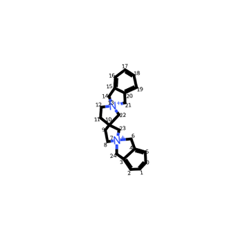 c1ccc2c(c1)C[N+]1(CCC3(CC[N+]4(Cc5ccccc5C4)C3)C1)C2